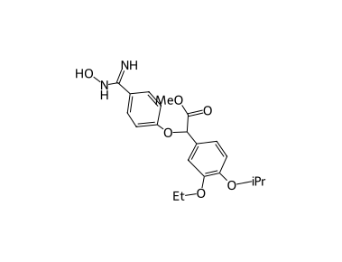 CCOc1cc(C(Oc2ccc(C(=N)NO)cc2)C(=O)OC)ccc1OC(C)C